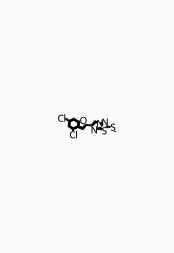 CSc1nn2cc(-c3cc4c(Cl)cc(Cl)cc4o3)nc2s1